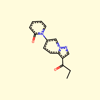 CCC(=O)c1cnn2cc(-n3ccccc3=O)ccc12